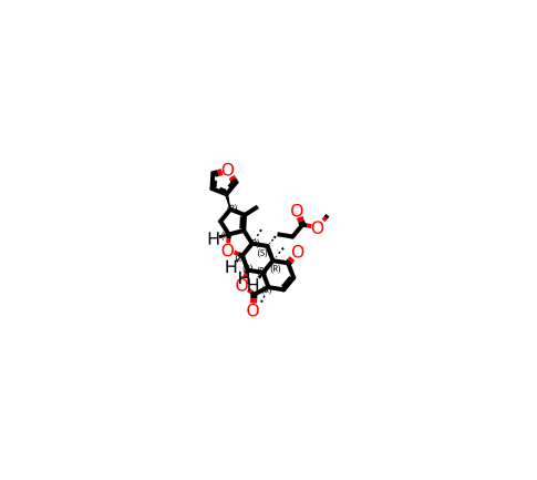 COC(=O)CC[C@H]1[C@]2(C)C3=C(C)[C@H](c4ccoc4)C[C@H]3O[C@@H]2[C@@H]2OC(=O)[C@]3(C)C=CC(=O)[C@@]1(C)[C@@H]23